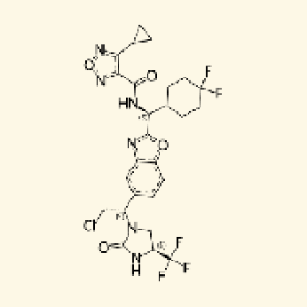 O=C(N[C@H](c1nc2cc([C@@H](CCl)N3C[C@@H](C(F)(F)F)NC3=O)ccc2o1)C1CCC(F)(F)CC1)c1nonc1C1CC1